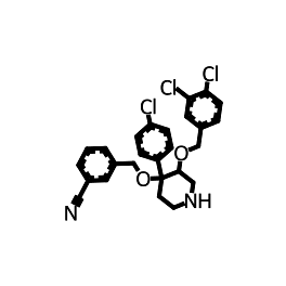 N#Cc1cccc(COC2(c3ccc(Cl)cc3)CCNCC2OCc2ccc(Cl)c(Cl)c2)c1